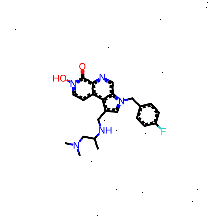 CC(CN(C)C)NCc1cn(Cc2ccc(F)cc2)c2cnc3c(=O)n(O)ccc3c12